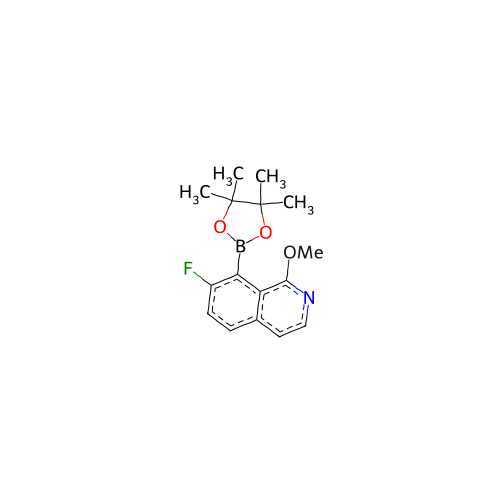 COc1nccc2ccc(F)c(B3OC(C)(C)C(C)(C)O3)c12